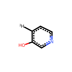 [2H]c1ccncc1O